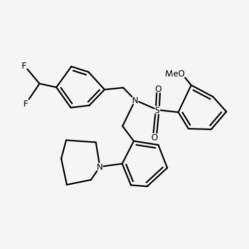 COc1ccccc1S(=O)(=O)N(Cc1ccc(C(F)F)cc1)Cc1ccccc1N1CCCCC1